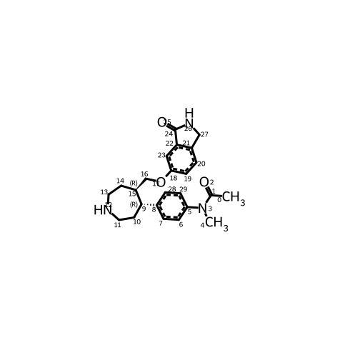 CC(=O)N(C)c1ccc([C@@H]2CCNCC[C@H]2COc2ccc3c(c2)C(=O)NC3)cc1